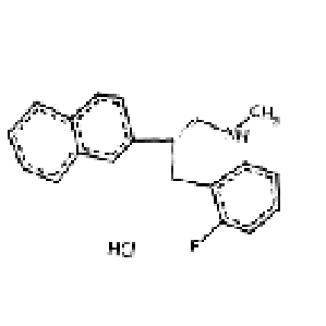 CNC[C@H](Cc1ccccc1F)c1ccc2ccccc2c1.Cl